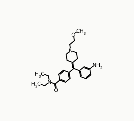 CCN(CC)C(=O)c1ccc(C(=C2CCN(CCOC)CC2)c2cccc(N)c2)cc1